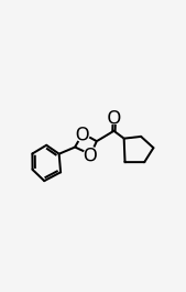 O=C(C1CCCC1)C1OC(c2ccccc2)O1